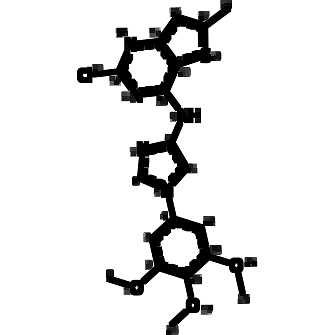 COc1cc(-n2cnc(Nc3nc(Cl)nc4cc(C)sc34)c2)cc(OC)c1OC